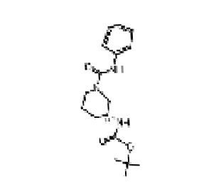 CC(C)(C)OC(=O)N[C@@H]1CCCN(C(=O)Nc2ccccc2)C1